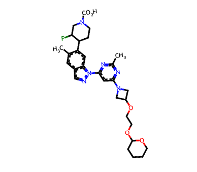 Cc1nc(N2CC(OCCOC3CCCCO3)C2)cc(-n2ncc3cc(C)c(C4CCN(C(=O)O)CC4F)cc32)n1